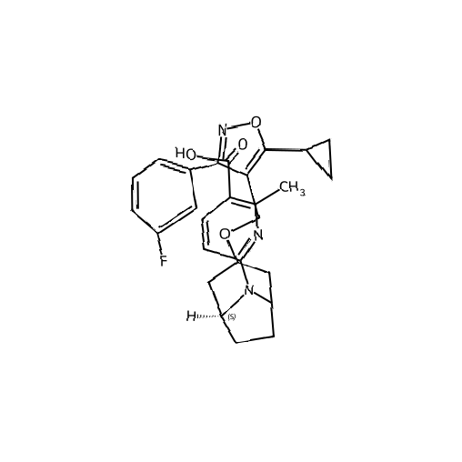 Cc1nc(N2C3CC[C@H]2CC(OCc2c(-c4cccc(F)c4)noc2C2CC2)C3)ccc1C(=O)O